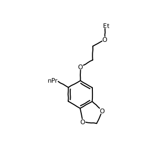 CCCc1cc2c(cc1OCCOCC)OCO2